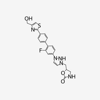 O=C1NCC(CN2C=CN(c3ccc(-c4ccc(-c5nc(CO)cs5)cc4)c(F)c3)N2)O1